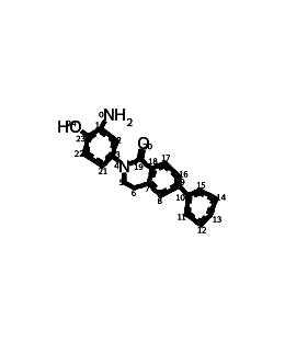 Nc1cc(N2CCc3cc(-c4ccccc4)ccc3C2=O)ccc1O